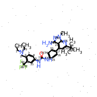 CCN(CC)Cc1ccc(NC(=O)Nc2ccc(-c3cc(C(C)(C)C)nc4c3c(N)nn4C)cc2)cc1C(F)(F)F